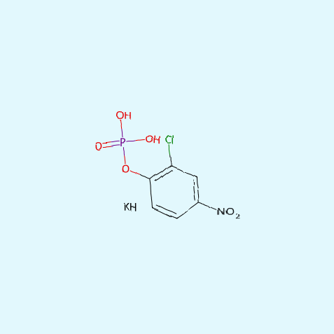 O=[N+]([O-])c1ccc(OP(=O)(O)O)c(Cl)c1.[KH]